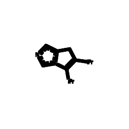 CC(C)C1=C(C(C)C)n2cncc2C1